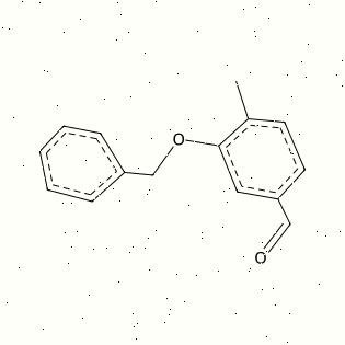 Cc1ccc(C=O)cc1OCc1ccccc1